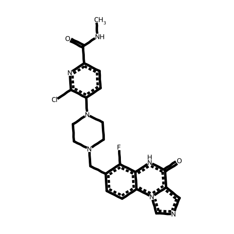 CNC(=O)c1ccc(N2CCN(Cc3ccc4c([nH]c(=O)c5cncn54)c3F)CC2)c(Cl)n1